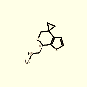 CNC[C@@H]1OCC2(CC2)c2ccsc21